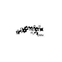 COCCN(C)c1cc(C(=O)NCC(O)CN2CCc3c(ccc(OCc4cnco4)c3Cl)C2)cc(NC2CCC2)n1